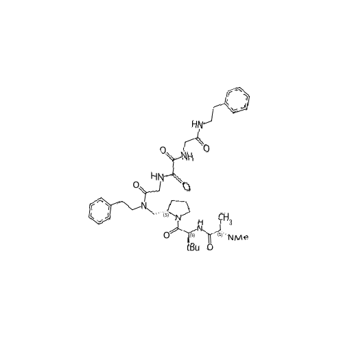 CN[C@@H](C)C(=O)N[C@H](C(=O)N1CCC[C@H]1CN(CCc1ccccc1)C(=O)CNC(=O)C(=O)NCC(=O)NCCc1ccccc1)C(C)(C)C